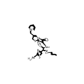 C=CCON=C(C(=O)NC1C(=O)N2C=C(C[n+]3ccccc3)CS[C@@H]12)c1csc(N)n1